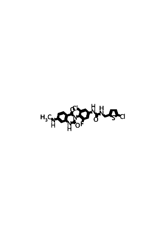 CNc1ccc2c(=O)n(-c3c(F)cc(NC(=O)NCc4ccc(Cl)s4)cc3Cl)c(=O)[nH]c2c1